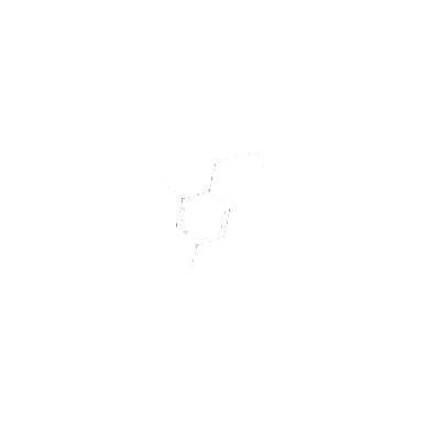 O=C(O)Cc1ccc(F)cc1Cl